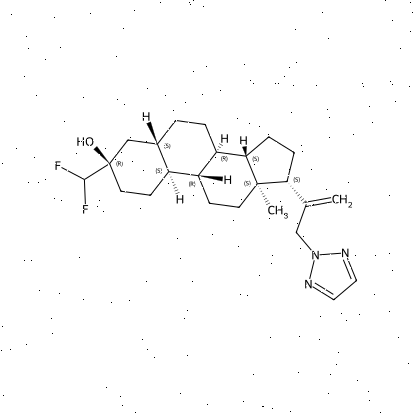 C=C(Cn1nccn1)[C@H]1CC[C@H]2[C@@H]3CC[C@H]4C[C@@](O)(C(F)F)CC[C@@H]4[C@H]3CC[C@]12C